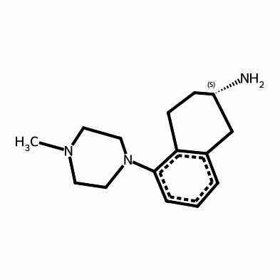 CN1CCN(c2cccc3c2CC[C@H](N)C3)CC1